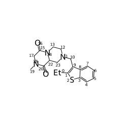 CCc1sc2ccccc2c1CN1CCN2C(=O)CN(C)C(=O)C2C1